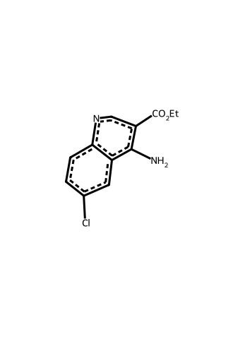 CCOC(=O)c1cnc2ccc(Cl)cc2c1N